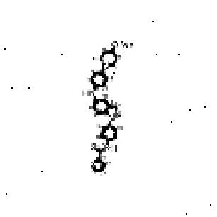 COC1CCN(c2ccc(Nc3ccc4c(cnn4-c4ccc(NC(=O)c5cccs5)cc4)c3)cc2)CC1